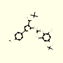 COc1ccc(-c2cc(C(=O)OC(C)(C)C)c(NC(=O)Nc3c(Cl)cc(OC(F)(F)F)cc3Cl)s2)cc1